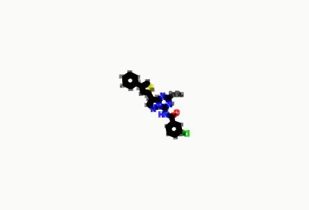 CCCCc1nc(NC(=O)c2cccc(Cl)c2)n2ncc(-c3cc(-c4ccccc4)cs3)c2n1